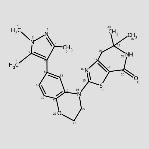 Cc1nn(C)c(C)c1-c1ccc2c(c1)N(c1nc3c(s1)C(=O)NC(C)(C)C3)CCO2